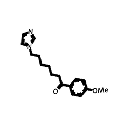 COc1ccc(C(=O)CCCCCCn2ccnc2)cc1